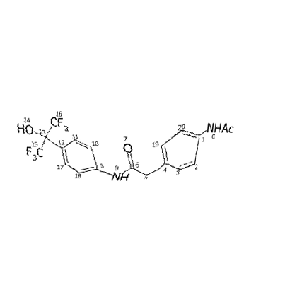 CC(=O)Nc1ccc(CC(=O)Nc2ccc(C(O)(C(F)(F)F)C(F)(F)F)cc2)cc1